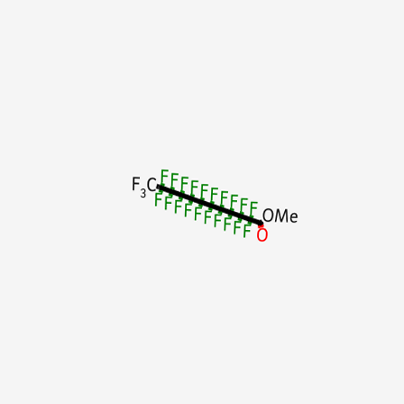 COC(=O)C(F)(F)C(F)(F)C(F)(F)C(F)(F)C(F)(F)C(F)(F)C(F)(F)C(F)(F)C(F)(F)C(F)(F)C(F)(F)F